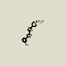 CC(=O)c1cccc(C2CC(c3csc(C4CCN(C(=O)O)CC4)n3)=NO2)c1